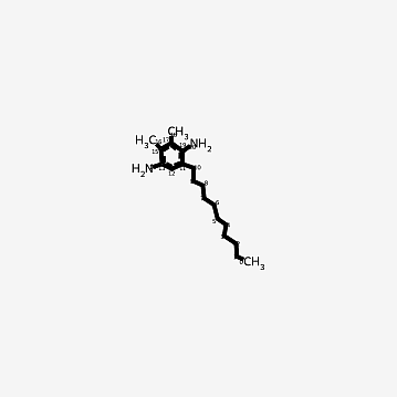 CCCCCCCCCCCc1cc(N)c(C)c(C)c1N